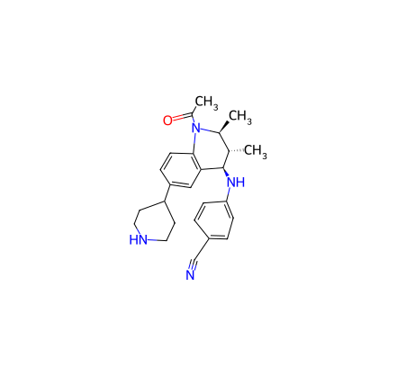 CC(=O)N1c2ccc(C3CCNCC3)cc2[C@H](Nc2ccc(C#N)cc2)[C@@H](C)[C@@H]1C